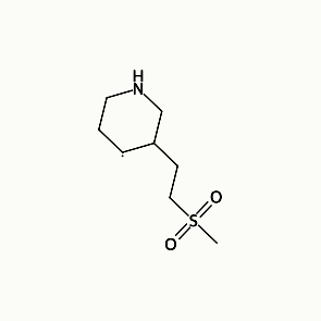 CS(=O)(=O)CCC1[CH]CCNC1